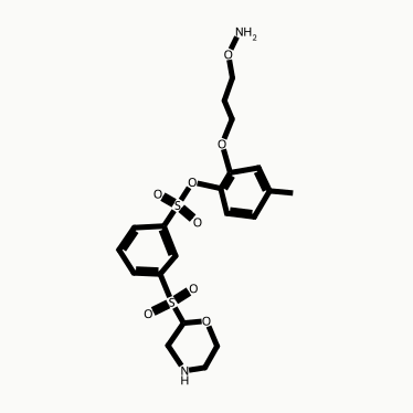 Cc1ccc(OS(=O)(=O)c2cccc(S(=O)(=O)C3CNCCO3)c2)c(OCCCON)c1